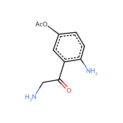 CC(=O)Oc1ccc(N)c(C(=O)CN)c1